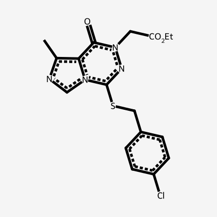 CCOC(=O)Cn1nc(SCc2ccc(Cl)cc2)n2cnc(C)c2c1=O